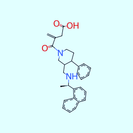 C=C(CC(=O)O)C(=O)N1CCC(c2ccccc2)C(CN[C@H](C)c2cccc3ccccc23)C1